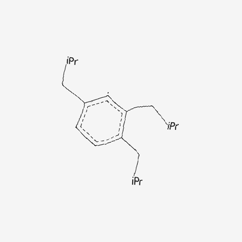 CC(C)Cc1[c]c(CC(C)C)c(CC(C)C)cc1